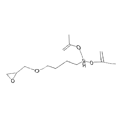 C=C(C)O[SiH](CCCCOCC1CO1)OC(=C)C